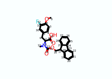 COc1ccc(CC(C(=O)O)N(C)C(=O)OCC2c3ccccc3-c3ccccc32)cc1F